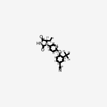 CC[C@]1(C)C(=O)NC(=O)N1c1ccc(Oc2ccc(C#N)cc2C(C)(C)C)nc1